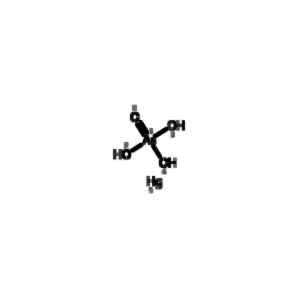 O=[As](O)(O)O.[Hg]